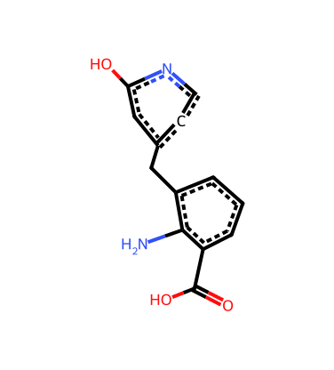 Nc1c(Cc2ccnc(O)c2)cccc1C(=O)O